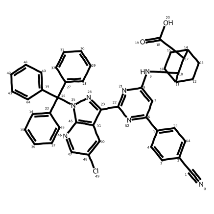 N#Cc1ccc(-c2cc(NC3C4CCC(CC4)C3C(=O)O)nc(-c3nn(C(c4ccccc4)(c4ccccc4)c4ccccc4)c4ncc(Cl)cc34)n2)cc1